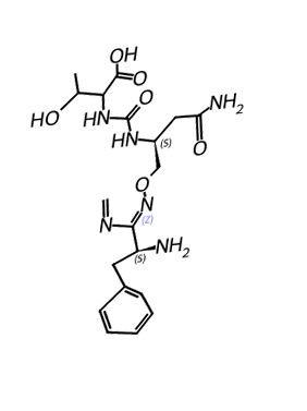 C=N/C(=N\OC[C@H](CC(N)=O)NC(=O)NC(C(=O)O)C(C)O)[C@@H](N)Cc1ccccc1